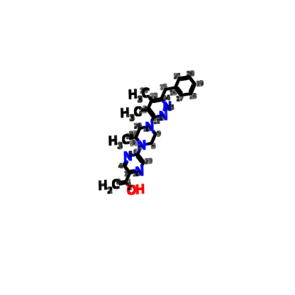 C=C(O)c1cnc(N2CCN(c3nnc(Cc4ccccc4)c(C)c3C)C[C@@H]2C)cn1